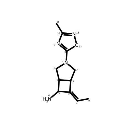 C/C=C1/C(N)C2CN(c3nc(C)no3)CC12